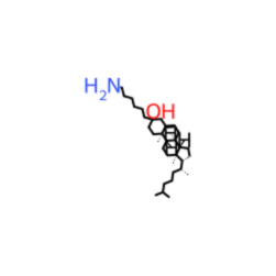 CC(C)CCC[C@@H](C)[C@H]1CC[C@H]2[C@@H]3CC=C4CC(O)(CCCCCCN)CC[C@]4(C)[C@H]3CC[C@]12C